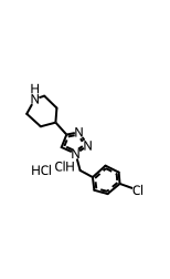 Cl.Cl.Clc1ccc(Cn2cc(C3CCNCC3)nn2)cc1